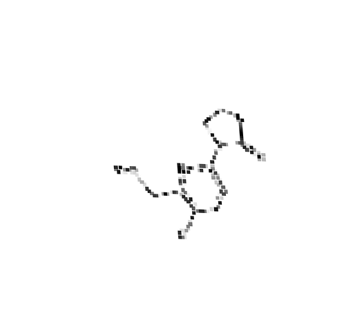 COCc1nc(N2CCOC2=O)ccc1Cl